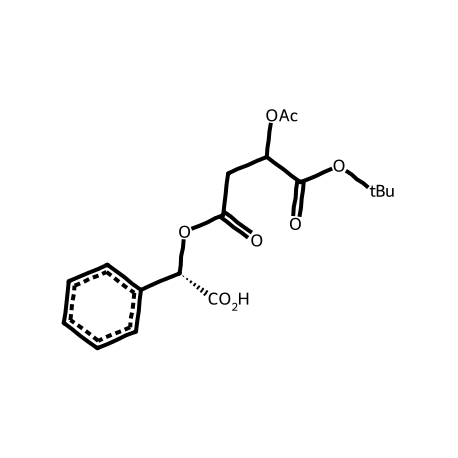 CC(=O)OC(CC(=O)O[C@H](C(=O)O)c1ccccc1)C(=O)OC(C)(C)C